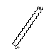 CCCCCCCCCCCCCCCCCCCCCCCCCCC(=O)O.CCCCCCCCCCCCCCCCCCCCCCCCCCNC